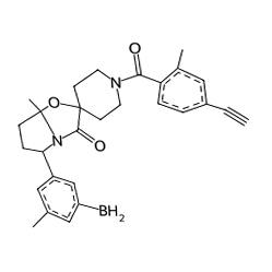 Bc1cc(C)cc(C2CCC3(C)OC4(CCN(C(=O)c5ccc(C#C)cc5C)CC4)C(=O)N23)c1